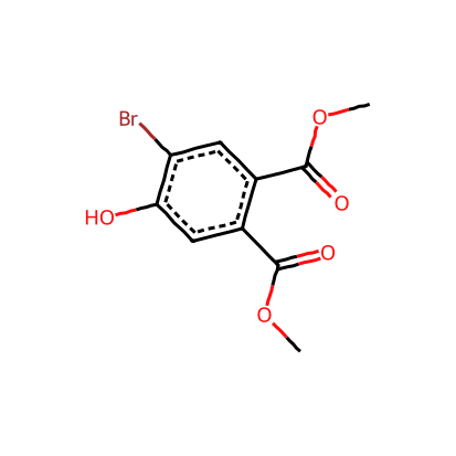 COC(=O)c1cc(O)c(Br)cc1C(=O)OC